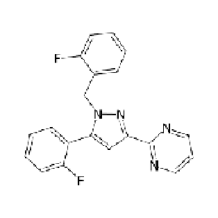 Fc1ccccc1Cn1nc(-c2ncccn2)cc1-c1ccccc1F